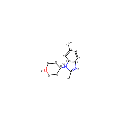 Cc1nc2ccc(C(C)C)cc2n1C1CCOCC1